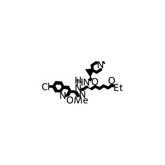 CCC(=O)CCCCC[C@H](NC(=O)[C@H]1CC12CCN(C)CC2)c1ncc(-c2cc3ccc(Cl)cc3nc2OC)[nH]1